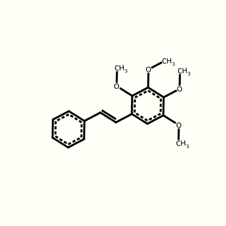 COc1cc(C=Cc2ccccc2)c(OC)c(OC)c1OC